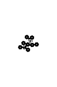 c1ccc(-c2ccc3c4cc5c(cc4n(-c4nc(-c6ccccc6)c6ccccc6n4)c3c2)c2ccccc2n2c(-c3ccccc3)nc(-c3ccccc3)c52)cc1